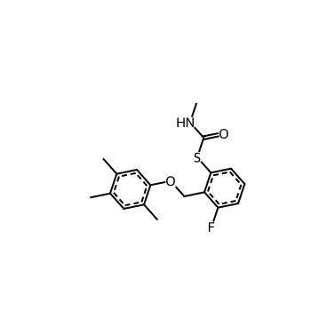 CNC(=O)Sc1cccc(F)c1COc1cc(C)c(C)cc1C